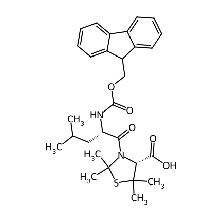 CC(C)C[C@H](NC(=O)OCC1c2ccccc2-c2ccccc21)C(=O)N1[C@H](C(=O)O)C(C)(C)SC1(C)C